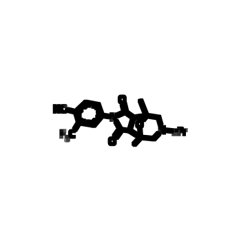 CCCN1CC2(C)OC(C)(C1)C1C(=O)N(c3ccc(C#N)c(C(F)(F)F)c3)C(=O)C12